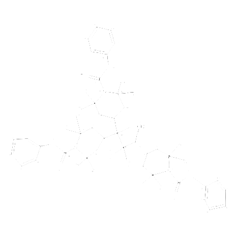 CC1(C)CC(C(C(=O)O)C(O)(C(=O)O)C(C(=O)O)(C2CC(C)(C)N(C(=O)Oc3ccccc3)C(C)(C)C2)C2CC(C)(C)N(C(=O)Oc3ccccc3)C(C)(C)C2)CC(C)(C)N1C(=O)Oc1ccccc1